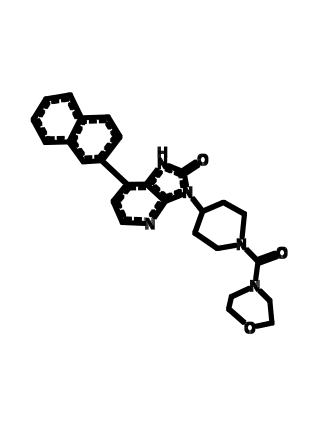 O=C(N1CCOCC1)N1CCC(n2c(=O)[nH]c3c(-c4ccc5ccccc5c4)ccnc32)CC1